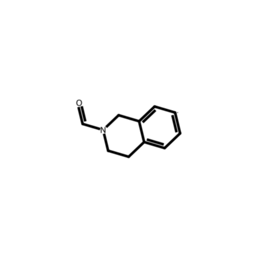 O=CN1CCc2cc[c]cc2C1